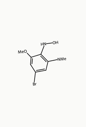 CNc1cc(Br)cc(OC)c1NO